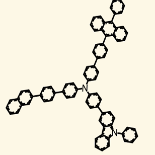 c1ccc(-c2c3ccccc3c(-c3ccc(-c4ccc(N(c5ccc(-c6ccc(-c7ccc8ccccc8c7)cc6)cc5)c5ccc(-c6ccc7c(c6)c6ccccc6n7-c6ccccc6)cc5)cc4)cc3)c3ccccc23)cc1